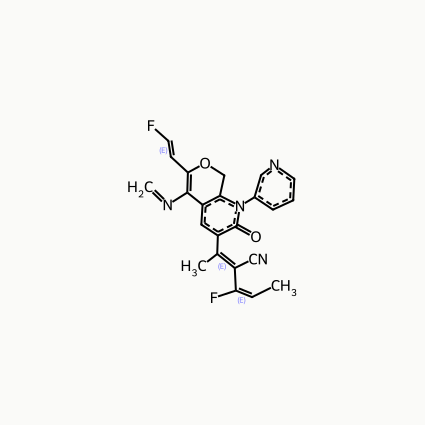 C=NC1=C(/C=C/F)OCc2c1cc(/C(C)=C(C#N)/C(F)=C\C)c(=O)n2-c1cccnc1